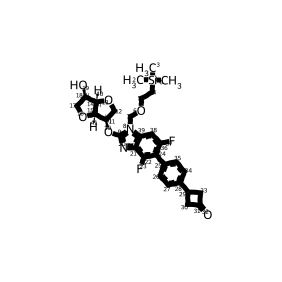 C[Si](C)(C)CCOCn1c(O[C@@H]2CO[C@H]3[C@@H]2OC[C@H]3O)nc2c(F)c(-c3ccc(C4CC(=O)C4)cc3)c(F)cc21